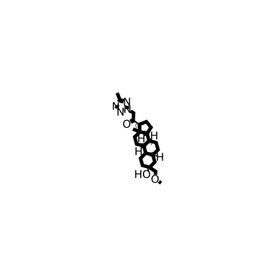 COC[C@@]1(O)CCC2[C@@H](CC[C@@H]3[C@@H]2CCC2(C)[C@@H](C(=O)Cn4nnc(C)n4)CC[C@@H]32)C1